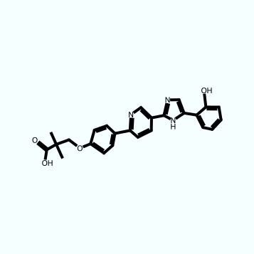 CC(C)(COc1ccc(-c2ccc(-c3ncc(-c4ccccc4O)[nH]3)cn2)cc1)C(=O)O